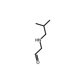 CC(C)CNC[C]=O